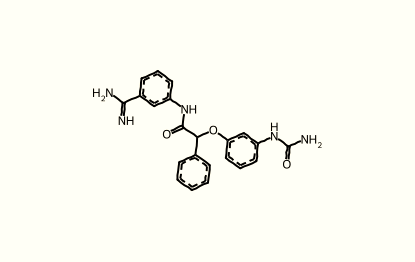 N=C(N)c1cccc(NC(=O)C(Oc2cccc(NC(N)=O)c2)c2ccccc2)c1